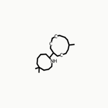 CC1CCCCCCCC(C2CCCCC(C)(C)CCCN2)CCCC1